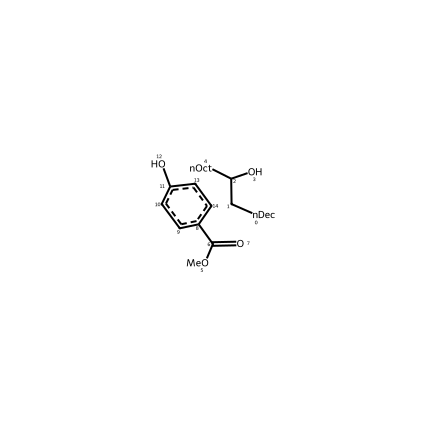 CCCCCCCCCCCC(O)CCCCCCCC.COC(=O)c1ccc(O)cc1